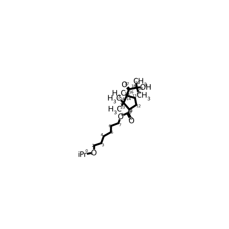 CC(C)OCCCCCCOC(=O)[C@H]1CC[C@@](C)(C(=O)C(C)(C)O)C1(C)C